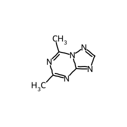 Cc1nc(C)n2ncnc2n1